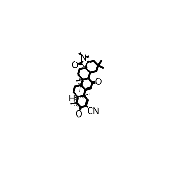 C[C@@H]1C(=O)C(C#N)=C[C@]2(C)C3=CC(=O)C4C5CC(C)(C)CC[C@]5(C(=O)N(C)C)CC[C@@]4(C)[C@]3(C)CC[C@@H]12